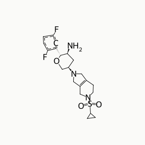 N[C@H]1C[C@@H](N2CC3=C(C2)CN(S(=O)(=O)C2CC2)CC3)CO[C@@H]1c1cc(F)ccc1F